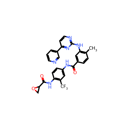 Cc1ccc(C(=O)Nc2ccc(NC(=O)C3CO3)c(C(F)(F)F)c2)cc1Nc1nccc(-c2cccnc2)n1